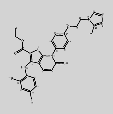 CCOC(=O)c1sc2c(ccc(=O)n2-c2ccc(OCCn3ccnc3C)cc2)c1Nc1ccc(F)cc1F